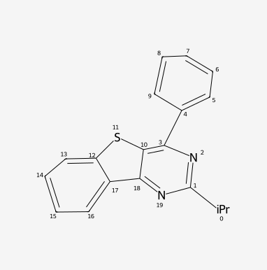 CC(C)c1nc(-c2ccccc2)c2sc3ccccc3c2n1